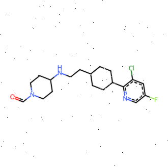 O=CN1CCC(NCCC2CCC(c3ncc(F)cc3Cl)CC2)CC1